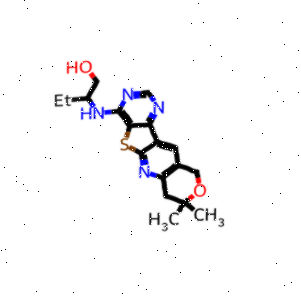 CCC(CO)Nc1ncnc2c1sc1nc3c(cc12)COC(C)(C)C3